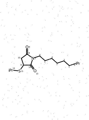 CC(C)CCCCCCN1C(=O)CC(SC(C)C)C1=O